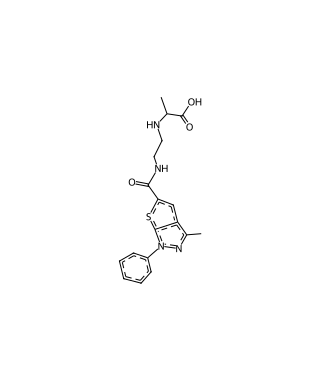 Cc1nn(-c2ccccc2)c2sc(C(=O)NCCNC(C)C(=O)O)cc12